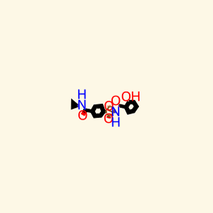 O=C(NC1CC1)c1ccc(S(=O)(=O)NC(=O)c2ccccc2O)cc1